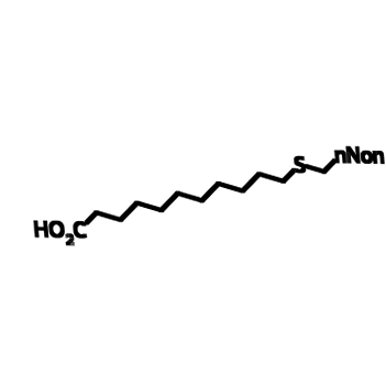 CCCCCCCCCCSCCCCCCCCCCC(=O)O